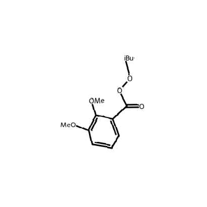 CC[C](C)OOC(=O)c1cccc(OC)c1OC